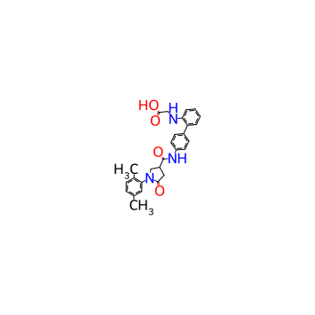 Cc1ccc(C)c(N2CC(C(=O)Nc3ccc(-c4ccccc4NCC(=O)O)cc3)CC2=O)c1